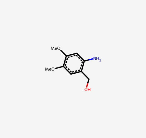 COc1cc(N)c(CO)cc1OC